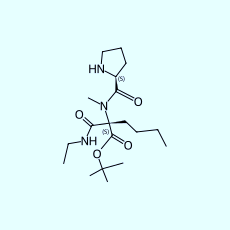 CCCC[C@](C(=O)NCC)(C(=O)OC(C)(C)C)N(C)C(=O)[C@@H]1CCCN1